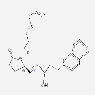 O=C(O)CSCCCS[C@H]1C(=O)CC[C@@H]1/C=C/C(O)CCc1ccc2ccccc2c1